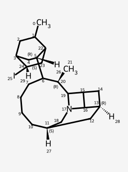 CC1CC2C[C@@H](C3CCCC[C@H]4C[C@@H]5CC6C5N(C4)C6[C@@H]3C)C1C[C@@H]2I